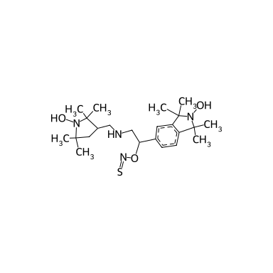 CC1(C)CC(CNCC(ON=S)c2ccc3c(c2)C(C)(C)N(O)C3(C)C)C(C)(C)N1O